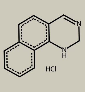 C1=NCNc2c1ccc1ccccc21.Cl